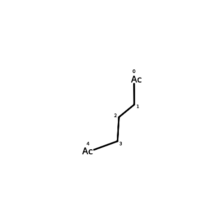 [CH2]C(=O)CCCC(C)=O